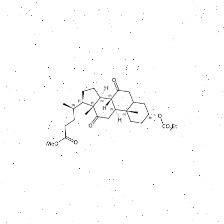 CCOC(=O)O[C@@H]1CC[C@@]2(C)C(CC(=O)[C@H]3[C@@H]4CC[C@H]([C@H](C)CCC(=O)OC)[C@@]4(C)C(=O)C[C@@H]32)C1